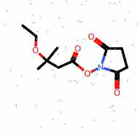 CCOC(C)(C)CC(=O)ON1C(=O)CCC1=O